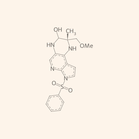 COC[C@]1(C)Nc2c(cnc3c2ccn3S(=O)(=O)c2ccccc2)NC1O